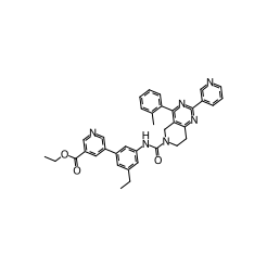 CCOC(=O)c1cncc(-c2cc(CC)cc(NC(=O)N3CCc4nc(-c5cccnc5)nc(-c5ccccc5C)c4C3)c2)c1